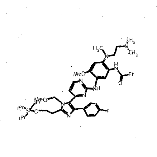 CCC(=O)Nc1cc(Nc2nccc(-c3c(-c4ccc(F)cc4)nc(CCO[Si](C(C)C)(C(C)C)C(C)C)n3COC)n2)c(OC)cc1N(C)CCN(C)C